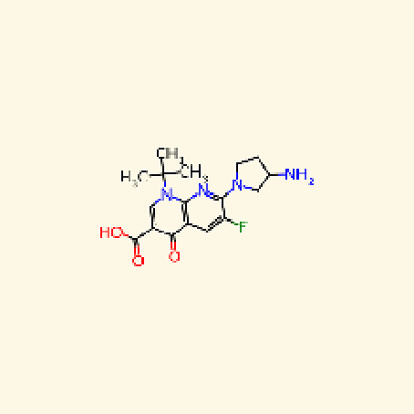 CC(C)(C)n1cc(C(=O)O)c(=O)c2cc(F)c(N3CCC(N)C3)nc21